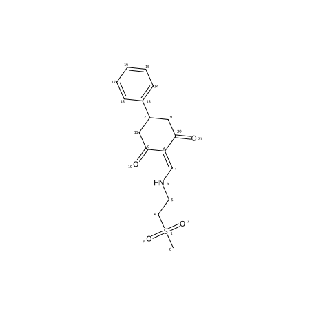 CS(=O)(=O)CCNC=C1C(=O)CC(c2ccccc2)CC1=O